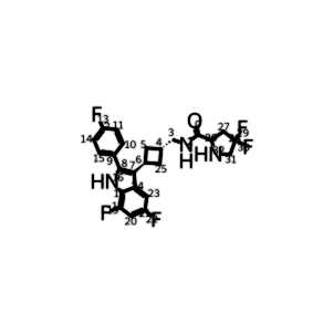 O=C(NC[C@H]1C[C@H](c2c(-c3ccc(F)cc3)[nH]c3c(F)cc(F)cc32)C1)C1CC(F)(F)CN1